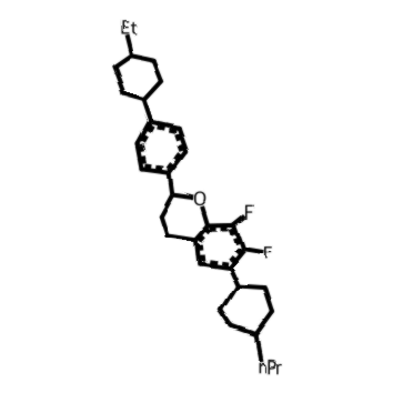 CCCC1CCC(c2cc3c(c(F)c2F)OC(c2ccc(C4CCC(CC)CC4)cc2)CC3)CC1